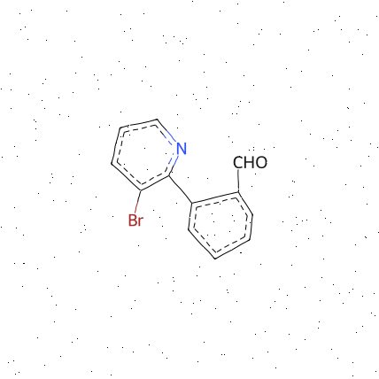 O=Cc1ccccc1-c1ncccc1Br